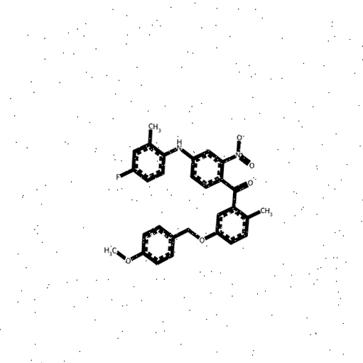 COc1ccc(COc2ccc(C)c(C(=O)c3ccc(Nc4ccc(F)cc4C)cc3[N+](=O)[O-])c2)cc1